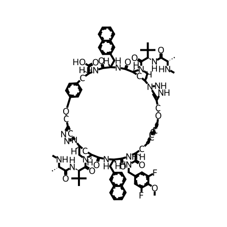 CN[C@@H](C)C(=O)N[C@H](C(=O)N1C[C@@H]2C[C@H]1C(=O)N[C@@H](Cc1ccc3ccccc3c1)C(=O)N[C@H](C(=O)O)Cc1ccc(cc1)OCc1cn(nn1)[C@H]1C[C@@H](C(=O)N[C@@H](Cc3ccc4ccccc4c3)C(=O)N[C@H](C(=O)NCc3cc(F)c(OC)c(F)c3)Cc3ccc(cc3)OCC3=CN2NN3)N(C(=O)[C@@H](NC(=O)[C@H](C)NC)C(C)(C)C)C1)C(C)(C)C